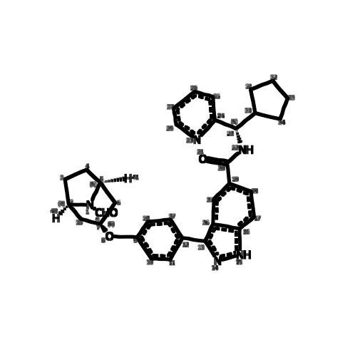 O=CN1[C@@H]2CC[C@H]1C[C@@H](Oc1ccc(-c3n[nH]c4ccc(C(=O)N[C@H](c5ccccn5)C5CCCC5)cc34)cc1)C2